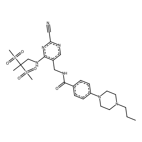 CCCN1CCN(c2ccc(C(=O)NCc3cnc(C#N)nc3NCC(C)(S(C)(=O)=O)S(C)(=O)=O)cc2)CC1